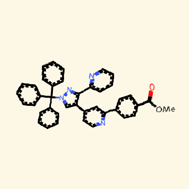 COC(=O)c1ccc(-c2cc(-c3cn(C(c4ccccc4)(c4ccccc4)c4ccccc4)nc3-c3ccccn3)ccn2)cc1